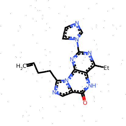 C=CCCc1ncc2c(=O)[nH]c3c(CC)nc(-n4ccnc4)nc3n12